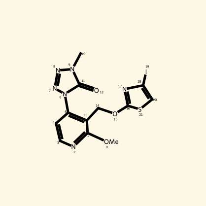 COc1nccc(-n2nnn(C)c2=O)c1COc1nc(I)cs1